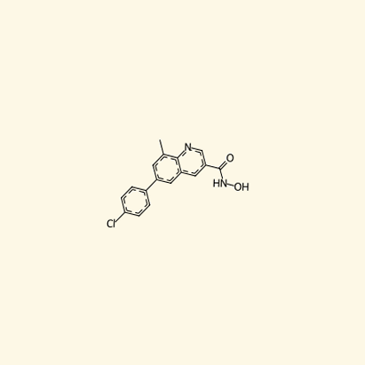 Cc1cc(-c2ccc(Cl)cc2)cc2cc(C(=O)NO)cnc12